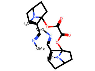 CON=CC1=CCC2CCC1(OC(=O)C(=O)OC13CCC(CC=C1C=NOC)N3C)N2C